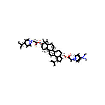 C=C(C)[C@@H]1CC[C@]2(COC(=O)C[n+]3ccc(N(C)C)cc3)CC[C@]3(C)C(CCC4[C@@]5(C)CC[C@H](OC(=O)C[n+]6ccc(C(C)C)cc6)C(C)(C)C5CC[C@]43C)C12